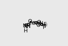 O=C(NCc1ccc(S(=O)(=O)c2ccc(C(F)(F)F)cn2)cc1)c1cnc2[nH]ncc2c1